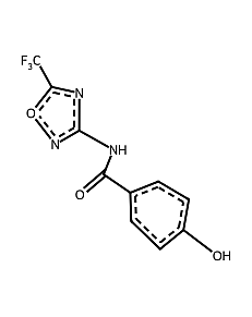 O=C(Nc1noc(C(F)(F)F)n1)c1ccc(O)cc1